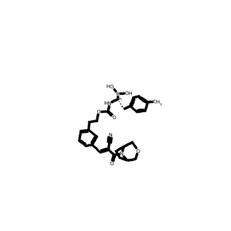 Cc1ccc(C[C@H](NC(=O)OCCc2cccc(C=C(C#N)C(=O)N3C4CCC3COC4)c2)B(O)O)cc1